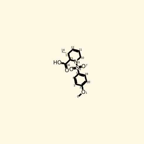 COc1ccc(S(=O)(=O)N2CC=C[C@@H](C)C2C(=O)O)cc1